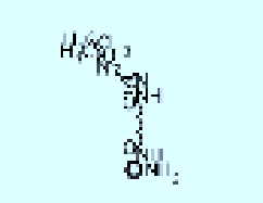 CC(C)(C)c1cnc(CSc2cnc(NC(=O)CCCCCC(=O)Nc3ccccc3N)s2)o1